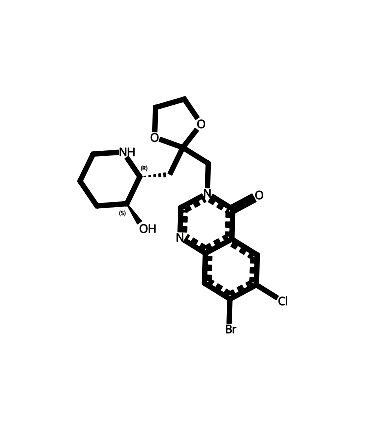 O=c1c2cc(Cl)c(Br)cc2ncn1CC1(C[C@H]2NCCC[C@@H]2O)OCCO1